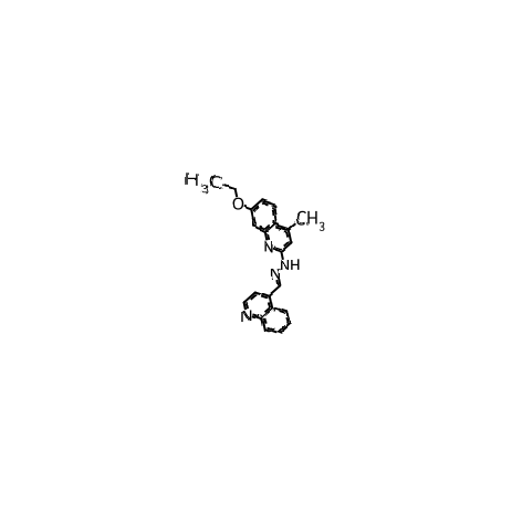 CCOc1ccc2c(C)cc(N/N=C/c3ccnc4ccccc34)nc2c1